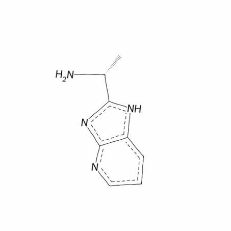 C[C@@H](N)c1nc2ncccc2[nH]1